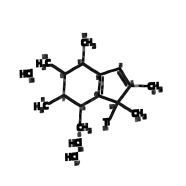 CC1=CC2=C(C(C)C(C)C(C)C2C)[C]1(C)[Ti].Cl.Cl.Cl